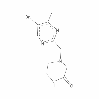 Cc1nc(CN2CCNC(=O)C2)ncc1Br